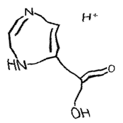 O=C(O)c1cnc[nH]1.[H+]